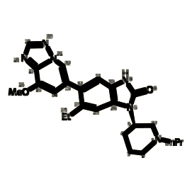 CCCN1CCC[C@@H](n2c(=O)[nH]c3cc(-c4cc(OC)c5ncnn5c4)c(CC)cc32)C1